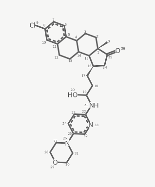 C[C@]12CCC3c4ccc(Cl)cc4CCC3C1[C@H](CCC(O)Nc1ccc(N3CCOCC3)cn1)CC2=O